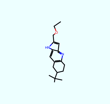 CCOCc1cc2nc3c(cc2[nH]1)CC(C(C)(C)C)CC3